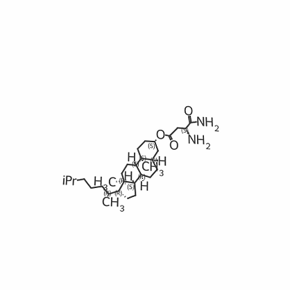 CC(C)CCC[C@@H](C)[C@H]1CC[C@H]2[C@@H]3CC[C@H]4C[C@@H](OC(=O)C[C@H](N)C(N)=O)CC[C@]4(C)[C@H]3CC[C@]12C